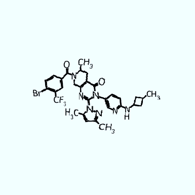 Cc1cc(C)n(-c2nc3c(c(=O)n2-c2ccc(NC4CC(C)C4)nc2)CC(C)N(C(=O)c2ccc(Br)c(C(F)(F)F)c2)C3)n1